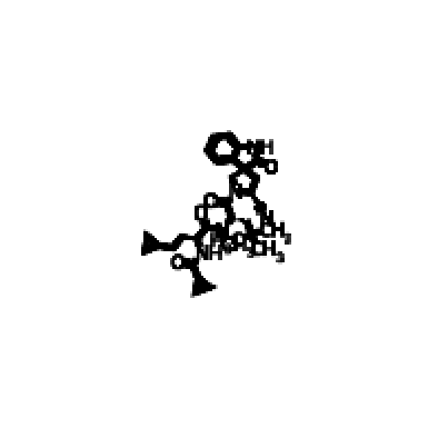 CN(C(=O)[C@H](CCC1CC1)NC(=O)C1CC1)[C@@H](CC(C)(C)C)C(=O)N1C[C@]2(C[C@H]1C#N)C(=O)Nc1ccccc12